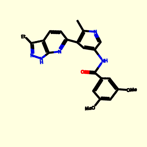 CCc1n[nH]c2nc(-c3cc(NC(=O)c4cc(OC)cc(OC)c4)cnc3C)ccc12